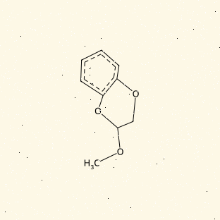 COC1COc2ccccc2O1